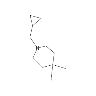 CC1(I)CCN(CC2CC2)CC1